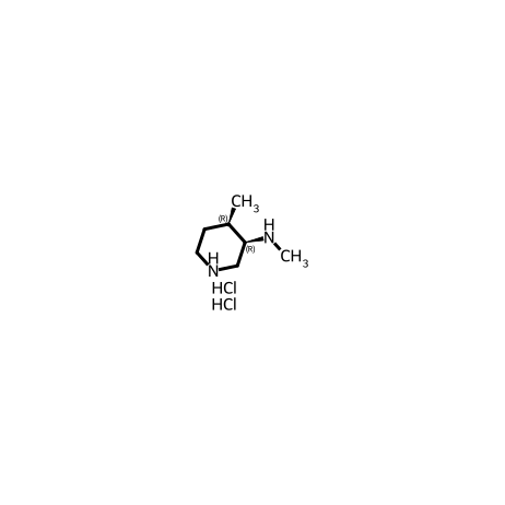 CN[C@H]1CNCC[C@H]1C.Cl.Cl